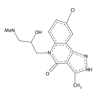 CNCC(O)Cn1c(=O)c2c(C)[nH]nc2c2cc(Cl)ccc21